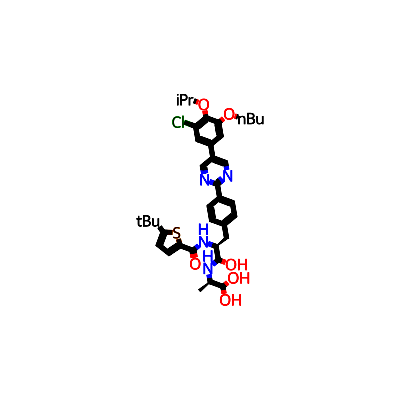 CCCCOc1cc(-c2cnc(-c3ccc(C[C@H](NC(=O)c4ccc(C(C)(C)C)s4)C(O)N[C@H](C)C(O)O)cc3)nc2)cc(Cl)c1OC(C)C